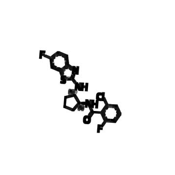 O=C(N[C@H]1CCC[C@@H]1Nc1nc2ccc(F)cc2s1)c1c(F)cccc1Cl